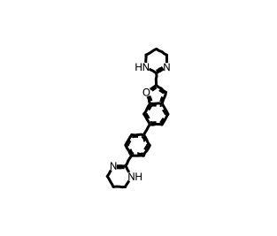 c1cc(-c2ccc3cc(C4=NCCCN4)oc3c2)ccc1C1=NCCCN1